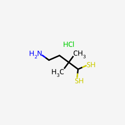 CC(C)(CCN)C(S)S.Cl